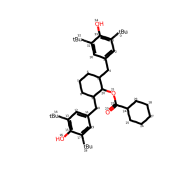 CC(C)(C)c1cc(CC2CCCC(Cc3cc(C(C)(C)C)c(O)c(C(C)(C)C)c3)C2OC(=O)C2CCCCC2)cc(C(C)(C)C)c1O